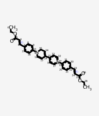 CCOC(=O)/C=C/c1ccc(N2C=CC(c3cc[n+](-c4ccc(/C=C/C(=O)OCC)cc4)cc3)=CC2)cc1